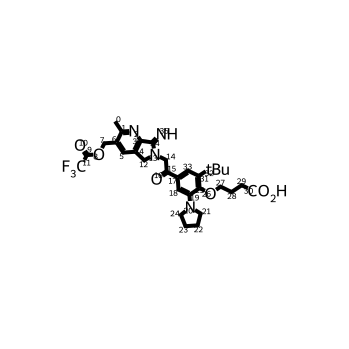 Cc1nc2c(cc1COC(=O)C(F)(F)F)CN(CC(=O)c1cc(N3CCCC3)c(OCCCC(=O)O)c(C(C)(C)C)c1)C2=N